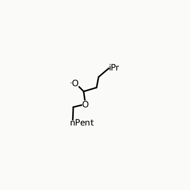 CCCCCCOC([O])CCC(C)C